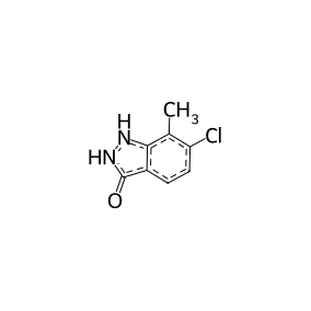 Cc1c(Cl)ccc2c(=O)[nH][nH]c12